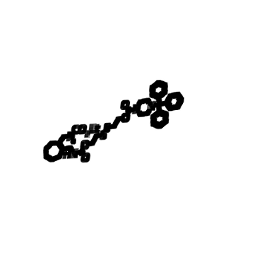 CCOC(=O)N(C)CC1CCCCCC1CNC(=O)OCCSSCCOC(=O)N1CCN(C(c2ccccc2)(c2ccccc2)c2ccccc2)CC1